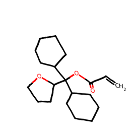 C=CC(=O)OC(C1CCCCC1)(C1CCCCC1)C1CCCO1